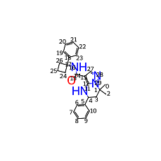 CC1(C)CC(c2ccccc2)Nc2c(C(=O)NC3(c4ccccc4)CCC3)cnn21